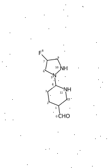 O=CC1CCC(N2CC(F)CN2)NC1